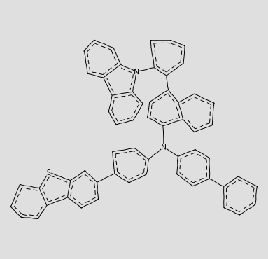 c1ccc(-c2ccc(N(c3ccc(-c4ccc5c(c4)sc4ccccc45)cc3)c3ccc(-c4ccccc4-n4c5ccccc5c5ccccc54)c4ccccc34)cc2)cc1